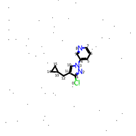 Clc1nn(-c2cccnc2)cc1CC1CC1